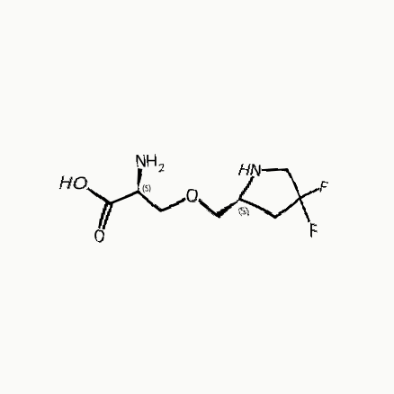 N[C@@H](COC[C@@H]1CC(F)(F)CN1)C(=O)O